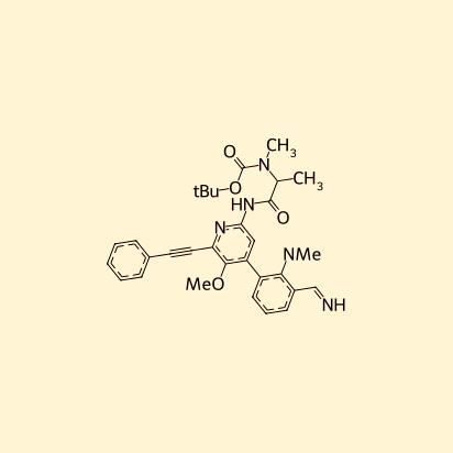 CNc1c(C=N)cccc1-c1cc(NC(=O)C(C)N(C)C(=O)OC(C)(C)C)nc(C#Cc2ccccc2)c1OC